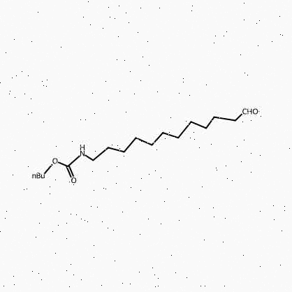 CCCCOC(=O)NCCCCCCCCCCC[C]=O